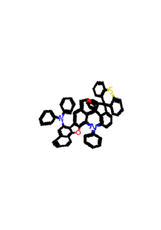 C1=CC2=C(CC1)C1(c3ccccc3S2)c2ccccc2-c2c(N(c3ccccc3)c3c4ccccc4cc4c3oc3c5ccccc5cc(N(c5ccccc5)c5ccccc5)c43)cccc21